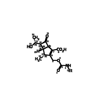 CCNC(=O)OCC1=C(C(=O)O)N2C(=O)[C@H]([C@@H](C)O)[C@H]2[C@H]1C